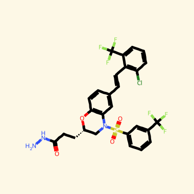 NNC(=O)CC[C@H]1CN(S(=O)(=O)c2cccc(C(F)(F)F)c2)c2cc(/C=C/c3c(Cl)cccc3C(F)(F)F)ccc2O1